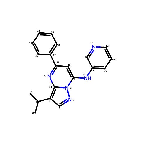 CC(C)c1cnn2c(Nc3cccnc3)cc(-c3ccccc3)nc12